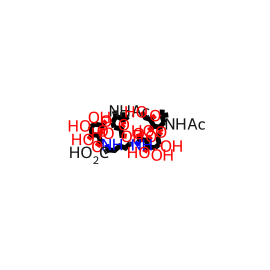 CC(=O)NC1C(OC2OC(C(=O)NCCCCC(NC(=O)C3OC(OC4C(O)C(CO)OC(C)(C)C4NC(C)=O)C(O)C(O)C3O)C(=O)O)C(O)C(O)C2O)C(O)C(CO)OC1(C)C